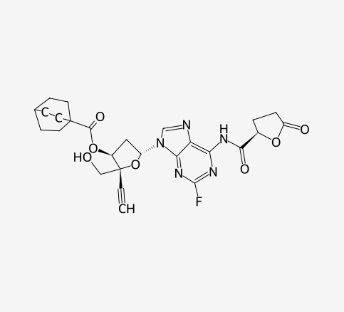 C#C[C@]1(CO)O[C@@H](n2cnc3c(NC(=O)[C@H]4CCC(=O)O4)nc(F)nc32)C[C@@H]1OC(=O)C12CCC(CC1)CC2